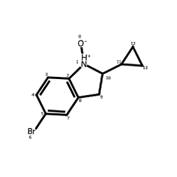 [O-][NH+]1c2ccc(Br)cc2CC1C1CC1